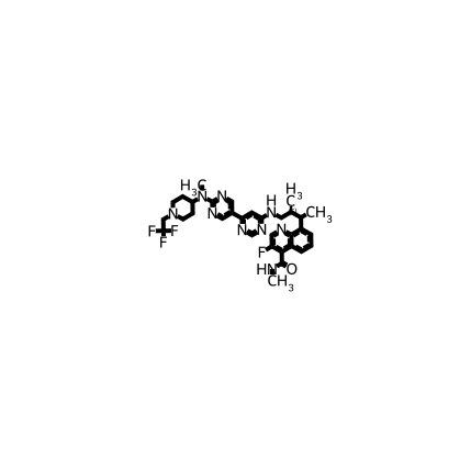 CNC(=O)c1c(F)cnc2c(C(C)[C@H](C)CNc3cc(-c4cnc(N(C)C5CCN(CC(F)(F)F)CC5)nc4)ncn3)cccc12